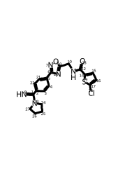 N=C(c1ccc(-c2noc(CNC(=O)c3ccc(Cl)s3)n2)cc1)N1CCCC1